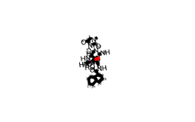 CN1CC(=O)N(C[C@@H]2NC(=N)N3CC(NC(=O)c4cccc5c4CCCC5)C(O)(O)[C@@]34NC(=N)N[C@@H]24)C1=O